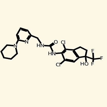 O=C(NCc1cccc(N2CCCCC2)n1)Nc1c(Cl)cc2c(c1Cl)CCC2(O)C(F)(F)F